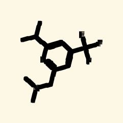 CC(C)c1cc(C(F)(F)F)cc(CN(C)C)n1